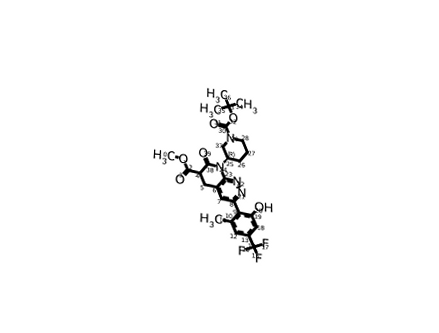 COC(=O)C1Cc2cc(-c3c(C)cc(C(F)(F)F)cc3O)nnc2N([C@@H]2CCCN(C(=O)OC(C)(C)C)C2)C1=O